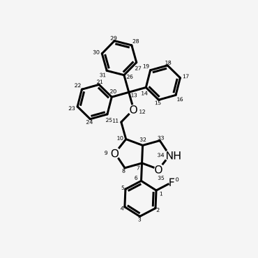 Fc1ccccc1C12COC(COC(c3ccccc3)(c3ccccc3)c3ccccc3)C1CNO2